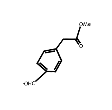 COC(=O)Cc1ccc([C]=O)cc1